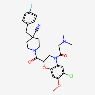 COc1cc2c(cc1Cl)N(C(=O)CN(C)C)CC(C(=O)N1CCC(C#N)(Cc3ccc(F)cc3)CC1)O2